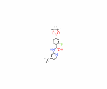 CC1(C)OB(c2ccc(C(O)Nc3cc(C(F)(F)F)ccn3)c(F)c2)OC1(C)C